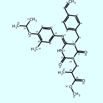 C=Cc1ccc(Cn2c(=Nc3ccc(OC(C)C)c(C)c3)[nH]c(=O)n(CC(C)C(=O)OC)c2=O)cc1